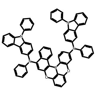 c1ccc(N(c2ccc3c(c2)c2ccccc2n3-c2ccccc2)c2cc3c(c4ccccc24)B2c4c(cccc4Oc4cc(N(c5ccccc5)c5ccc6c(c5)c5ccccc5n6-c5ccccc5)c5ccccc5c42)O3)cc1